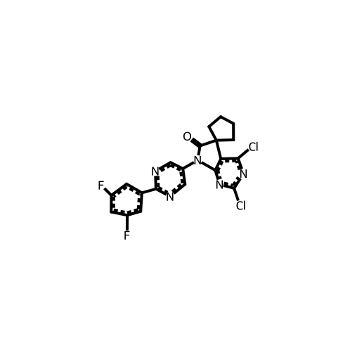 O=C1N(c2cnc(-c3cc(F)cc(F)c3)nc2)c2nc(Cl)nc(Cl)c2C12CCCC2